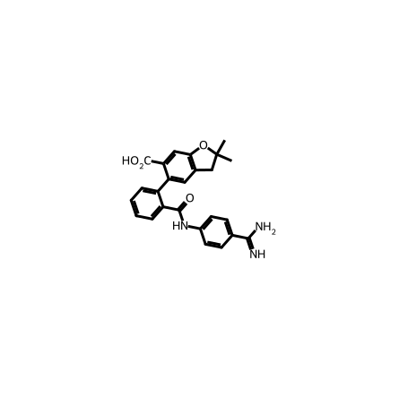 CC1(C)Cc2cc(-c3ccccc3C(=O)Nc3ccc(C(=N)N)cc3)c(C(=O)O)cc2O1